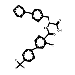 O=C(N[C@@H](Cc1ccc(-c2ccccc2)cc1)C(=O)O)c1ccc(-c2ccc(C(F)(F)F)cc2)cc1Cl